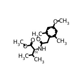 COC(=O)[C@@H](NC(=O)Cc1c(C)cc(OC)cc1C)C(C)C